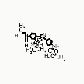 CC(O)CNc1ccc(-c2cnc(-c3ccc(NC(=O)OC(C)C)cc3)s2)c(S(=O)(=O)NC(C)(C)C)c1